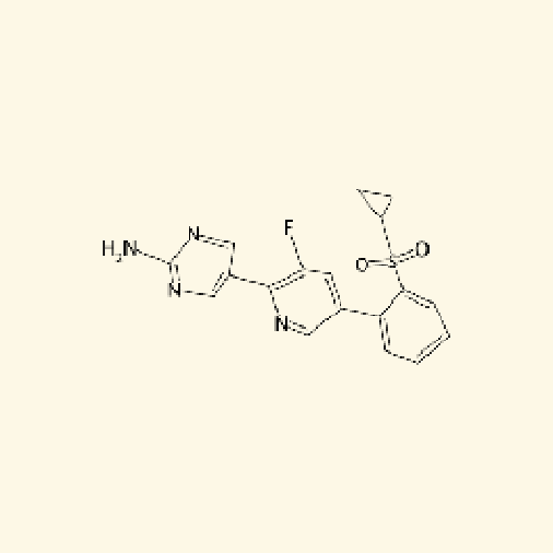 Nc1ncc(-c2ncc(-c3ccccc3S(=O)(=O)C3CC3)cc2F)cn1